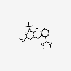 COC(=O)CN(Cc1ccccc1C(OC)OC)C(=O)OC(C)(C)C